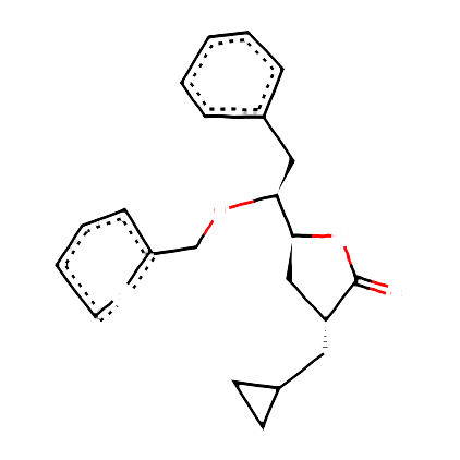 O=C1O[C@H]([C@H](Cc2ccccc2)OCc2ccccc2)C[C@H]1CC1CC1